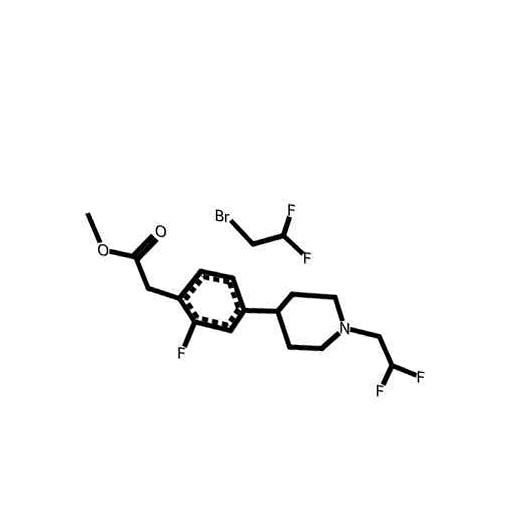 COC(=O)Cc1ccc(C2CCN(CC(F)F)CC2)cc1F.FC(F)CBr